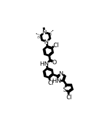 C[C@@H]1CN(c2ccc(C(=O)Nc3ccc(Cl)c(-c4ncc(-c5ccc(Cl)s5)[nH]4)c3)cc2Cl)C[C@H](C)N1C